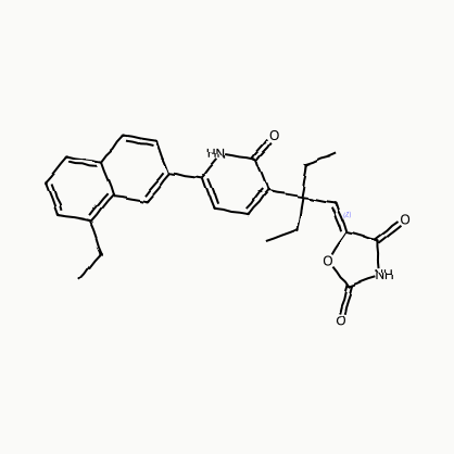 CCc1cccc2ccc(-c3ccc(C(/C=C4\OC(=O)NC4=O)(CC)CC)c(=O)[nH]3)cc12